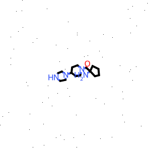 NC1(C(=O)N2CCC(N3CCNCC3)CC2)CCCC1